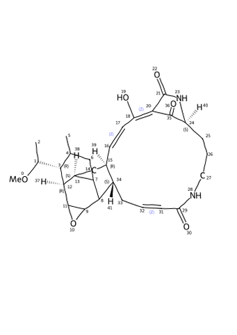 COC(C)[C@@H]1C(C)CC2C3C4OC4[C@@H]1[C@H]2C[C@H]1/C=C\C(O)=C2\C(=O)N[C@@H](CCCNC(=O)/C=C\C[C@H]31)C2=O